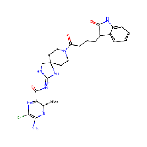 CNc1nc(N)c(Cl)nc1C(=O)/N=C1\NCC2(CCN(C(=O)CCCC3C(=O)Nc4ccccc43)CC2)N1